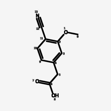 COc1cc(CC(=O)O)ccc1C#N